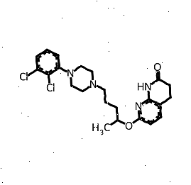 CC(CCCN1CCN(c2cccc(Cl)c2Cl)CC1)Oc1ccc2c(n1)NC(=O)CC2